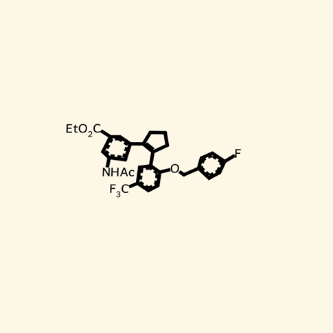 CCOC(=O)c1cc(NC(C)=O)cc(C2=C(c3cc(C(F)(F)F)ccc3OCc3ccc(F)cc3)CCC2)c1